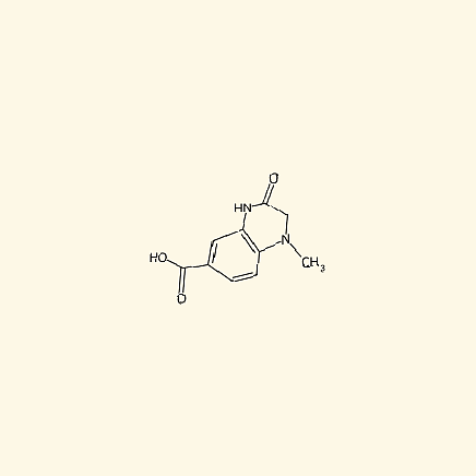 CN1CC(=O)Nc2cc(C(=O)O)ccc21